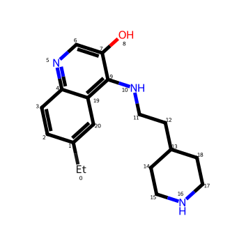 CCc1ccc2ncc(O)c(NCCC3CCNCC3)c2c1